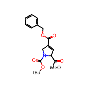 COC(=O)C1C=C(C(=O)OCc2ccccc2)CN1C(=O)OC(C)(C)C